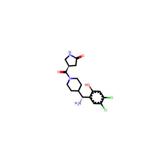 N[C@@H](c1cc(Cl)c(Cl)cc1O)C1CCN(C(=O)[C@H]2CNC(=O)C2)CC1